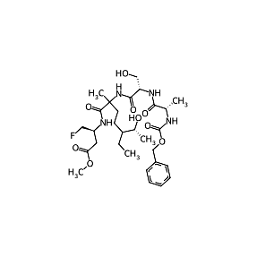 CCC(CCC(C)(NC(=O)[C@H](CO)NC(=O)[C@H](C)NC(=O)OCc1ccccc1)C(=O)N[C@H](CF)CC(=O)OC)[C@@H](C)O